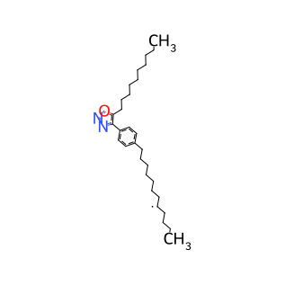 CCCC[CH]CCCCCCCc1ccc(-c2nnoc2CCCCCCCCCC)cc1